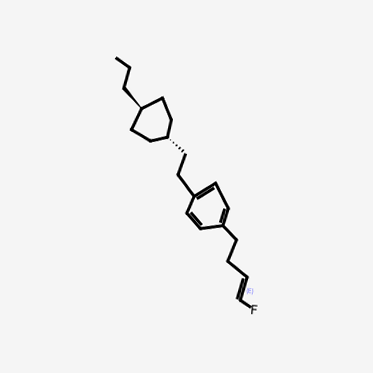 CCC[C@H]1CC[C@H](CCc2ccc(CC/C=C/F)cc2)CC1